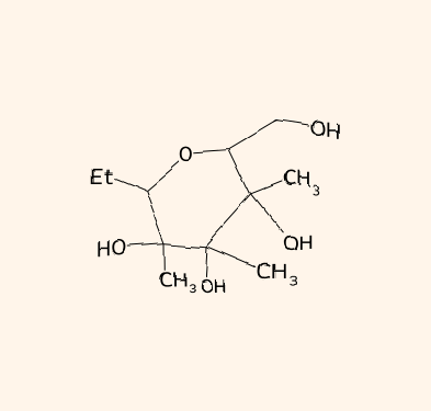 CCC1OC(CO)C(C)(O)C(C)(O)C1(C)O